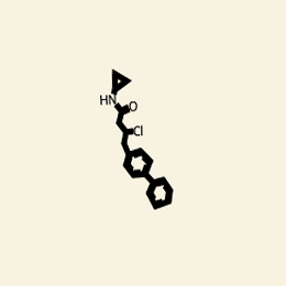 O=C(CC(Cl)Cc1ccc(-c2ccccc2)cc1)NC1CC1